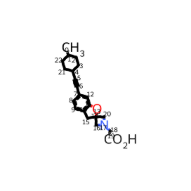 CC1CCC(C#Cc2ccc3c(c2)OC2(C3)CN(CC(=O)O)C2)CC1